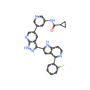 O=C(Nc1cncc(-c2cnc3[nH]nc(-c4cc5c(-c6ccccc6F)nccc5[nH]4)c3c2)c1)C1CC1